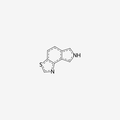 c1nc2c(ccc3c[nH]cc32)s1